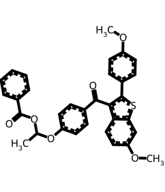 COc1ccc(-c2sc3cc(OC)ccc3c2C(=O)c2ccc(OC(C)OC(=O)c3ccccc3)cc2)cc1